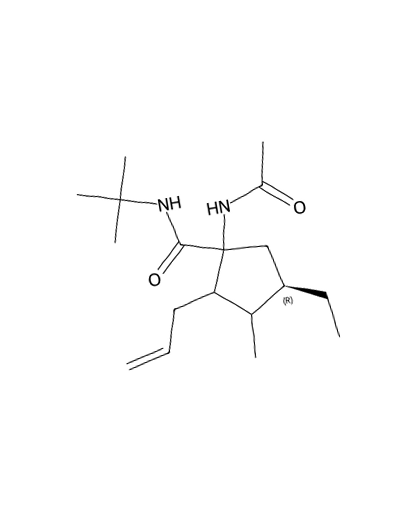 C=CCC1C(C)[C@H](CC)CC1(NC(C)=O)C(=O)NC(C)(C)C